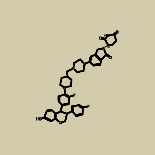 O=C1CC[C@H](N2Cc3cc(N4CCN(CC5CCN(c6ccc(C7c8ccc(O)cc8OCC7c7ccc(F)cc7)cc6F)CC5)CC4)ccc3C2=O)C(=O)N1